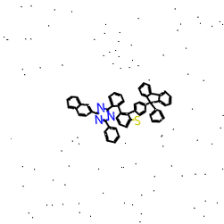 c1ccc(-c2nc(-c3ccc4ccccc4c3)nc(-c3ccccc3-c3cccc4sc5cc(C6(c7ccccc7)c7ccccc7-c7ccccc76)ccc5c34)n2)cc1